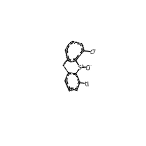 [O-][S+]1c2c(Cl)cccc2Cc2cccc(Cl)c21